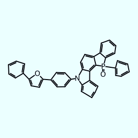 O=P1(c2ccccc2)c2ccccc2-c2ccc3c(c21)c1ccccc1n3-c1ccc(-c2ccc(-c3ccccc3)o2)cc1